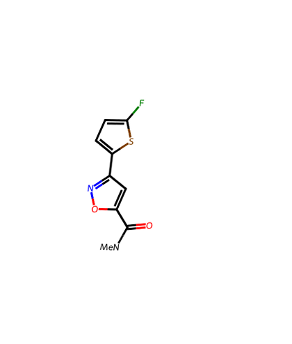 CNC(=O)c1cc(-c2ccc(F)s2)no1